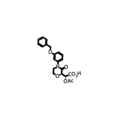 CC(=O)O[C@@H](C(=O)O)[C@H]1OCCN(c2cccc(OCc3ccccc3)c2)C1=O